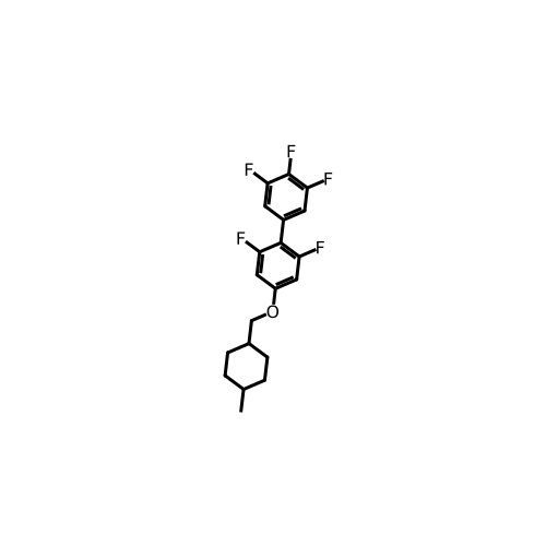 CC1CCC(COc2cc(F)c(-c3cc(F)c(F)c(F)c3)c(F)c2)CC1